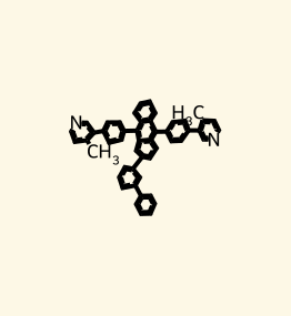 Cc1ccncc1-c1ccc(-c2c3ccccc3c(-c3ccc(-c4cnccc4C)cc3)c3cc(-c4cccc(-c5ccccc5)c4)ccc23)cc1